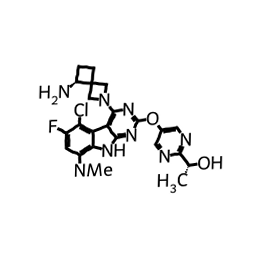 CNc1cc(F)c(Cl)c2c1[nH]c1nc(Oc3cnc([C@@H](C)O)nc3)nc(N3CC4(CC[C@@H]4N)C3)c12